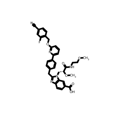 COCCNC(=O)[C@@H](Cn1c(Cc2ccc(-c3cccc(OCc4ccc(C#N)cc4F)n3)cc2)nc2ccc(C(=O)O)cc21)OC